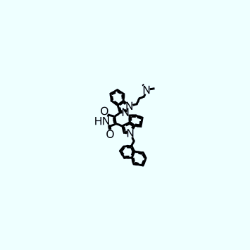 CN(C)CCCn1nc(C2=C(c3cn(Cc4cccc5ccccc45)c4ccccc34)C(=O)NC2=O)c2ccccc21